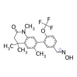 Cc1cc2c(cc1-c1cc(/C=N/O)ccc1OC(F)(F)F)N(C)C(=O)CC2(C)C